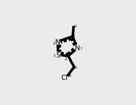 Cc1nsc(CCl)n1